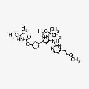 COCCc1ccnc(Nc2cc(C3CCC(OC(=O)NC(C)C)C3)nn2C(C)(C)C)n1